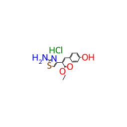 CCOC(=O)/C(=C\c1ccc(O)cc1)c1csc(N)n1.Cl